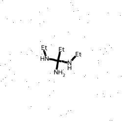 CCNC(N)(CC)NCC